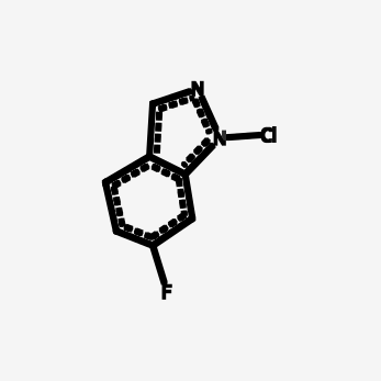 Fc1ccc2cnn(Cl)c2c1